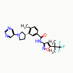 Cc1ccc(C(=O)Nc2cc(C(C)(C)C(F)(F)F)on2)cc1[C@@H]1CCN(c2cncnc2)C1